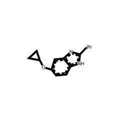 CC(C)c1nc2cc(OC3CC3)ccc2[nH]1